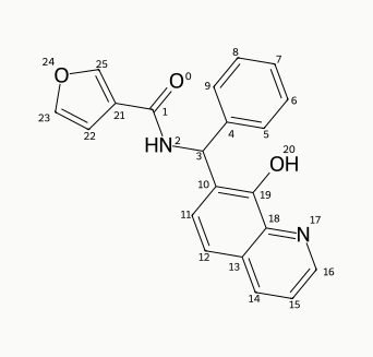 O=C(NC(c1ccccc1)c1ccc2cccnc2c1O)c1ccoc1